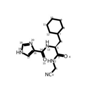 N#CCNC(=O)[C@H](CC1CCCCC1)NC(=O)c1c[nH]cn1